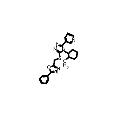 CC1CCCCC1n1c(SCc2nnc(-c3ccccc3)o2)nnc1-c1cccnc1